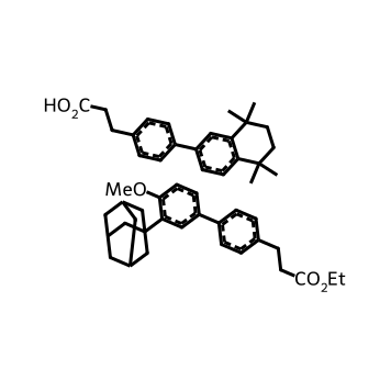 CC1(C)CCC(C)(C)c2cc(-c3ccc(CCC(=O)O)cc3)ccc21.CCOC(=O)CCc1ccc(-c2ccc(OC)c(C34CC5CC(CC(C5)C3)C4)c2)cc1